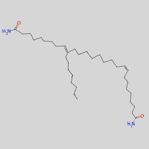 CCCCCCCC/C(=C\CCCCCCCC(N)=O)CCCCCCCC/C=C\CCCCCCCC(N)=O